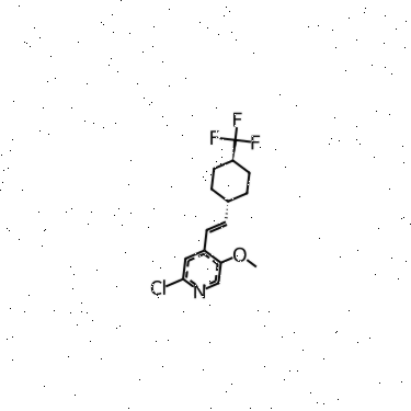 COc1cnc(Cl)cc1/C=C/[C@H]1CC[C@H](C(F)(F)F)CC1